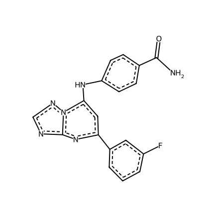 NC(=O)c1ccc(Nc2cc(-c3cccc(F)c3)nc3ncnn23)cc1